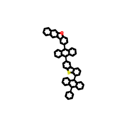 c1ccc(-c2c3ccccc3c(-c3cccc4c3sc3ccc(-c5c6ccccc6c(-c6ccc7oc8cc9ccccc9cc8c7c6)c6ccccc56)cc34)c3ccccc23)cc1